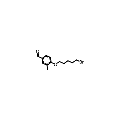 Cc1cc(C=O)ccc1OCCCCCBr